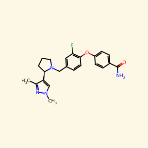 Cc1nn(C)cc1[C@H]1CCCN1Cc1ccc(Oc2ccc(C(N)=O)cc2)c(F)c1